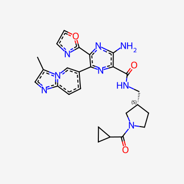 Cc1cnc2ccc(-c3nc(C(=O)NC[C@@H]4CCN(C(=O)C5CC5)C4)c(N)nc3-c3ncco3)cn12